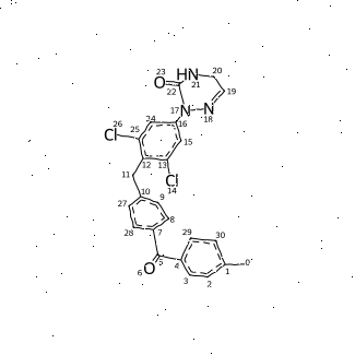 Cc1ccc(C(=O)c2ccc(Cc3c(Cl)cc(N4N=CCNC4=O)cc3Cl)cc2)cc1